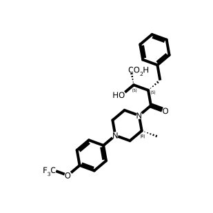 C[C@@H]1CN(c2ccc(OC(F)(F)F)cc2)CCN1C(=O)[C@@H](Cc1ccccc1)[C@H](O)C(=O)O